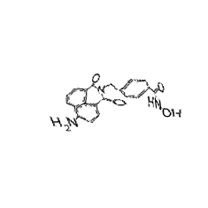 Nc1ccc2c3c(cccc13)C(=O)N(Cc1ccc(C(=O)NO)cc1)C2=O